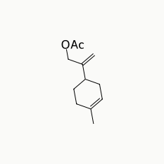 C=C(COC(C)=O)C1CC=C(C)CC1